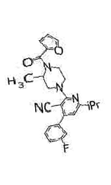 CC(C)c1cc(-c2cccc(F)c2)c(C#N)c(N2CCN(C(=O)c3ccco3)C(C)C2)n1